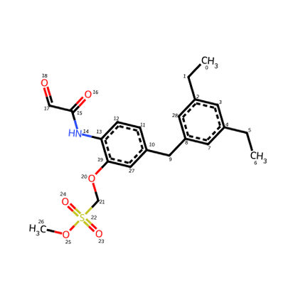 CCc1cc(CC)cc(Cc2ccc(NC(=O)C=O)c(OCS(=O)(=O)OC)c2)c1